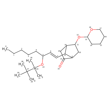 CCCCCC(C=CC1C2CC(OC3CCCCO3)C1CC2=O)O[Si](C)(C)C(C)(C)C